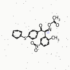 CC(=O)O/N=C(\C(=O)c1ccc(Sc2ccccc2)cc1)c1cc([N+](=O)[O-])ccc1C